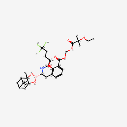 CCOC(C)(C)C(=O)OCOC(=O)c1cccc(CC(NC(=O)CCCC(F)(F)F)B2OC3CC4CC(C4(C)C)C3(C)O2)c1OC